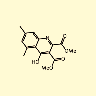 COC(=O)c1nc2cc(C)cc(C)c2c(O)c1C(=O)OC